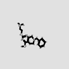 COc1nc(OCCN(C)C)nc2c1CCN(Cc1ccccc1)C2